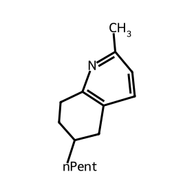 CCCCCC1CCc2nc(C)ccc2C1